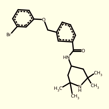 CC1(C)CC(NC(=O)c2cccc(COc3cccc(Br)c3)c2)CC(C)(C)N1